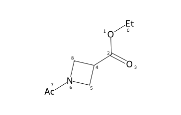 CCOC(=O)C1CN(C(C)=O)C1